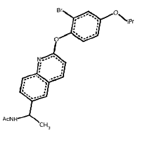 CC(=O)NC(C)c1ccc2nc(Oc3ccc(OC(C)C)cc3Br)ccc2c1